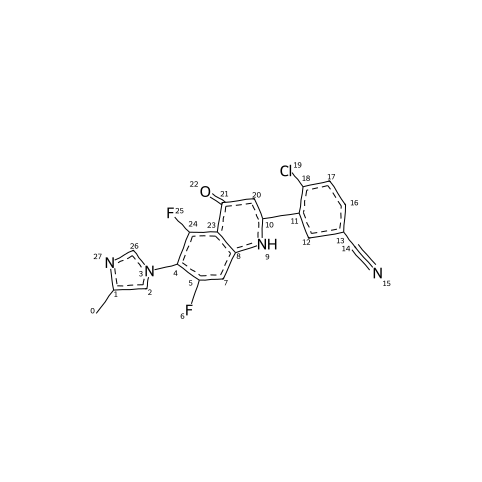 Cc1cn(-c2c(F)cc3[nH]c(-c4cc(C#N)ccc4Cl)cc(=O)c3c2F)cn1